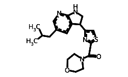 CC(C)Cc1cnc2c(c1)C(c1csc(C(=O)N3CCOCC3)n1)CN2